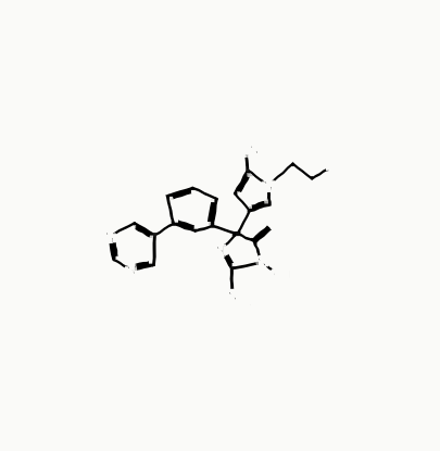 CN1C(=O)C(c2cccc(-c3cncnc3)c2)(c2cc(C#N)n(CCF)c2)N=C1N